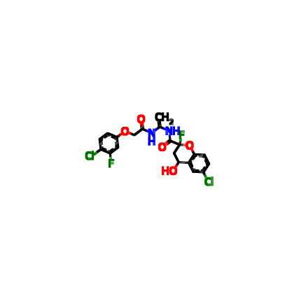 C=C(NC(=O)COc1ccc(Cl)c(F)c1)NC(=O)C1(F)CC(O)c2cc(Cl)ccc2O1